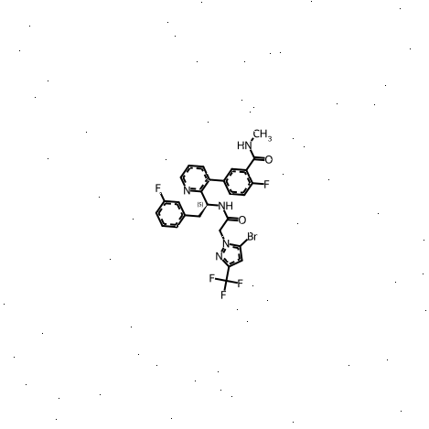 CNC(=O)c1cc(-c2cccnc2[C@H](Cc2cccc(F)c2)NC(=O)Cn2nc(C(F)(F)F)cc2Br)ccc1F